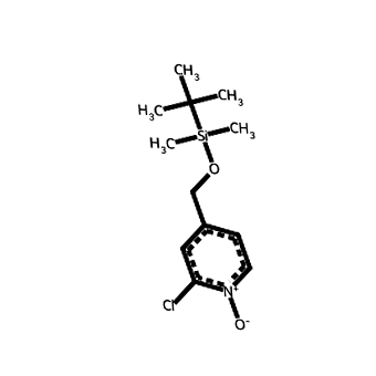 CC(C)(C)[Si](C)(C)OCc1cc[n+]([O-])c(Cl)c1